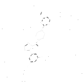 O=Cc1ccnc(N2CCN(C(=O)N3N=CCC3c3cc(F)cc(F)c3)CC2)n1